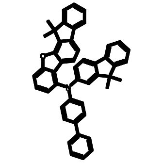 CC1(C)c2ccccc2-c2ccc(N(c3ccc(-c4ccccc4)cc3)c3cccc4oc5c6c(ccc5c34)-c3ccccc3C6(C)C)cc21